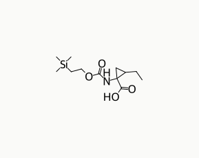 CCC1CC1(NC(=O)OCC[Si](C)(C)C)C(=O)O